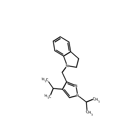 CC(C)c1cn(C(C)C)nc1CN1CCc2ccccc21